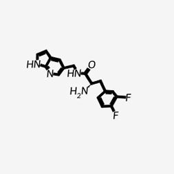 N[C@@H](Cc1ccc(F)c(F)c1)C(=O)NCc1cnc2[nH]ccc2c1